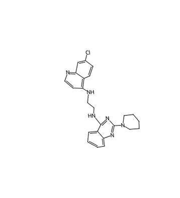 Clc1ccc2c(NCCNc3nc(N4CCCCC4)nc4ccccc34)ccnc2c1